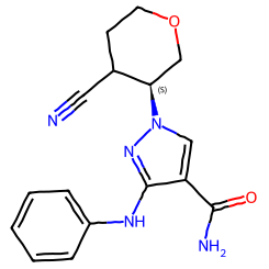 N#CC1CCOC[C@H]1n1cc(C(N)=O)c(Nc2ccccc2)n1